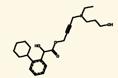 CCN(CC#CCOC(=O)C(O)c1ccccc1C1CCCCC1)CCCO